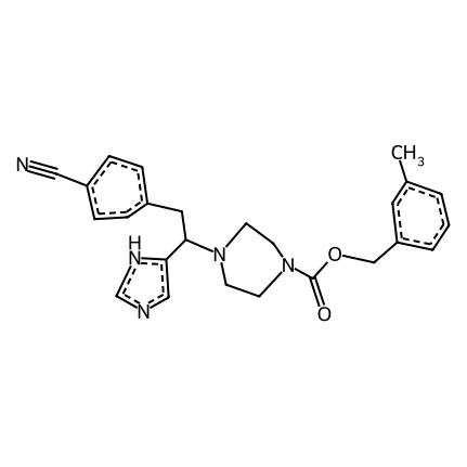 Cc1cccc(COC(=O)N2CCN(C(Cc3ccc(C#N)cc3)c3cnc[nH]3)CC2)c1